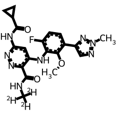 [2H]C([2H])([2H])NC(=O)c1nnc(NC(=O)C2CC2)cc1Nc1c(F)ccc(-c2cnn(C)n2)c1OC